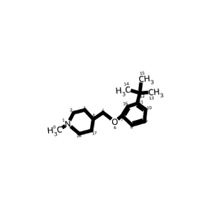 CN1CCC(COc2cccc(C(C)(C)C)c2)CC1